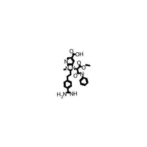 CCOC(=O)C(C(=O)[N]c1ccccc1)N1c2cc(C(=O)O)cnc2N(C)C1CCc1ccc(C(=N)N)cc1